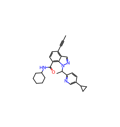 CC#Cc1ccc(C(=O)NC2CCCCC2)c2c1cnn2C(C)c1ccc(C2CC2)cn1